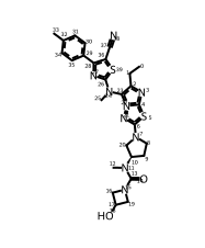 CCc1nc2sc(N3CC[C@@H](N(C)C(=O)N4CC(O)C4)C3)nn2c1N(C)c1nc(-c2ccc(C)cc2)c(C#N)s1